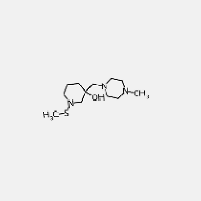 CSN1CCCC(O)(CN2CCN(C)CC2)C1